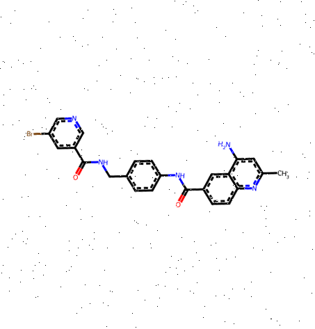 Cc1cc(N)c2cc(C(=O)Nc3ccc(CNC(=O)c4cncc(Br)c4)cc3)ccc2n1